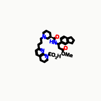 COC(=O)CC(NC(=O)[C@@H]1CCCN(CCCc2ccc3c(n2)N(C(=O)O)CCC3)C1)c1ccc2c(c1)CCC2